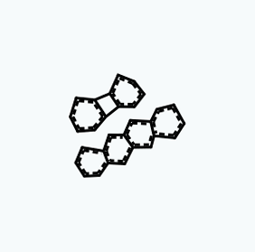 c1ccc2c(c1)-c1ccccc1-2.c1ccc2cc3cc4ccccc4cc3cc2c1